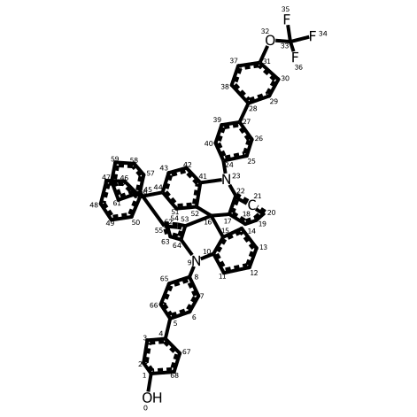 Oc1ccc(-c2ccc(N3c4ccccc4C4(c5ccccc5N(c5ccc(-c6ccc(OC(F)(F)F)cc6)cc5)c5ccc(-c6ccccc6)cc54)c4cc(-c5ccccc5)ccc43)cc2)cc1